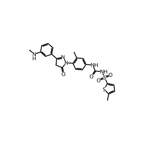 CNc1cccc(C2=NN(c3ccc(NC(=O)NS(=O)(=O)c4ccc(C)s4)cc3C)C(=O)C2)c1